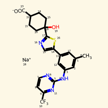 Cc1cc(Nc2nccc(C(F)(F)F)n2)cc(-c2cnc(C3(O)CCC(C(=O)[O-])CC3)s2)c1.[Na+]